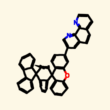 c1ccc2c(c1)Oc1cc(-c3cnc4c(ccc5cccnc54)c3)ccc1C21c2ccccc2C2(c3ccccc3-c3ccccc32)c2ccccc21